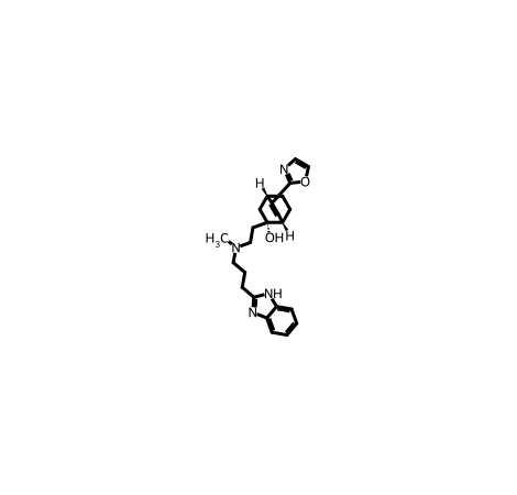 CN(CCCc1nc2ccccc2[nH]1)CC[C@@]1(O)C[C@@H]2CC[C@H]1C=C2c1ncco1